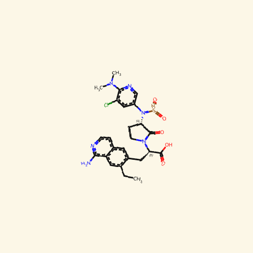 CCc1cc2c(N)nccc2cc1C[C@H](C(=O)O)N1CC[C@H](N(c2cnc(N(C)C)c(Cl)c2)[SH](=O)=O)C1=O